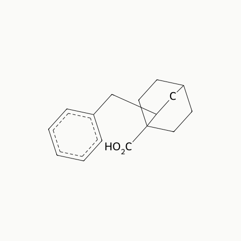 O=C(O)C12CCC(CC1)CC2Cc1ccccc1